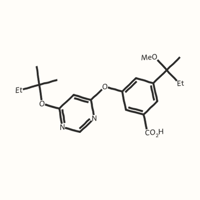 CCC(C)(C)Oc1cc(Oc2cc(C(=O)O)cc(C(C)(CC)OC)c2)ncn1